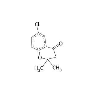 CC1(C)CC(=O)c2cc(Cl)ccc2O1